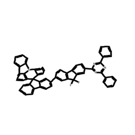 FC1(F)c2cc(-c3ccc4c(c3)C3(c5ccccc5-4)c4ccccc4-n4c5ccccc5c5cccc3c54)ccc2-c2ccc(-c3nc(-c4ccccc4)nc(-c4ccccc4)n3)cc21